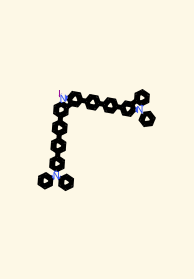 In1c2ccc(-c3ccc(-c4ccc(-c5ccc(N(c6ccccc6)c6ccccc6)cc5)cc4)cc3)cc2c2cc(-c3ccc(-c4ccc(-c5ccc6c(c5)c5ccccc5n6-c5ccccc5)cc4)cc3)ccc21